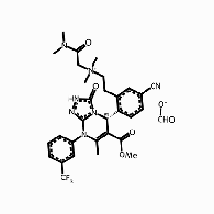 COC(=O)C1=C(C)N(c2cccc(C(F)(F)F)c2)c2n[nH]c(=O)n2[C@@H]1c1ccc(C#N)cc1CC[N+](C)(C)CC(=O)N(C)C.O=C[O-]